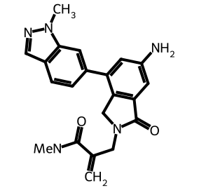 C=C(CN1Cc2c(cc(N)cc2-c2ccc3cnn(C)c3c2)C1=O)C(=O)NC